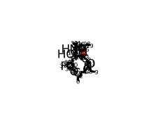 CCCC1CCN(CCC)C(=O)CCC(=O)N[C@H]([C@H](O)CNC2(c3cccc(CC)c3)CC2)Cc2cc(F)cc(c2)OC1